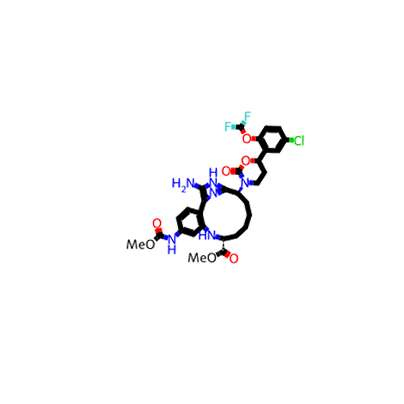 COC(=O)Nc1ccc2c(c1)N[C@@H](C(=O)OC)CCCC[C@H](N1CCC(c3cc(Cl)ccc3OC(F)F)OC1=O)c1nc-2c(N)[nH]1